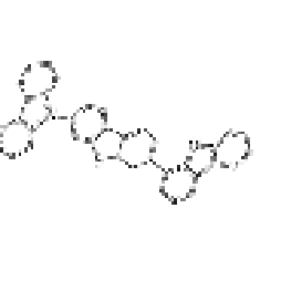 C1=C(c2cccc3c2oc2ccccc23)CC2Sc3cc(-n4c5ccccc5c5ccccc54)ccc3C2=C1